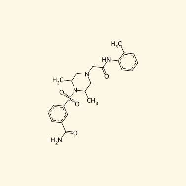 Cc1ccccc1NC(=O)CN1CC(C)N(S(=O)(=O)c2cccc(C(N)=O)c2)C(C)C1